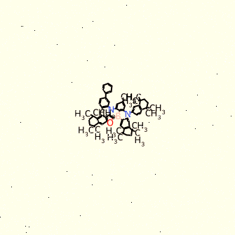 Cc1cc2c3c(c1)N(c1cc(-c4ccccc4)ccc1C)c1c(oc4cc5c(cc14)C(C)(C)CCC5(C)C)B3c1cc3c(cc1N2c1ccc2c(c1)C(C)(C)CCC2(C)C)C(C)(C)CCC3(C)C